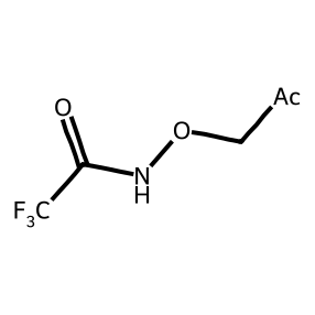 CC(=O)CONC(=O)C(F)(F)F